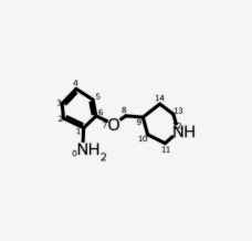 Nc1ccccc1OCC1CCNCC1